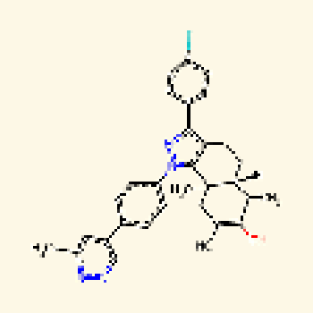 Cc1cc(-c2ccc(-n3nc(-c4ccc(F)cc4)c4c3[C@]3(C)CC(C#N)=C(O)[C@H](C)[C@H]3CC4)cc2)cnn1